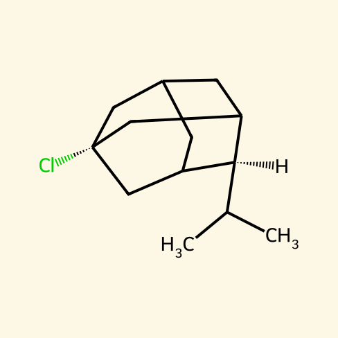 CC(C)[C@H]1C2CC3CC1C[C@](Cl)(C3)C2